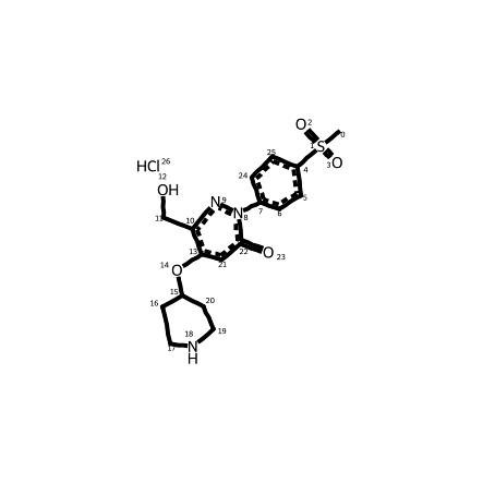 CS(=O)(=O)c1ccc(-n2nc(CO)c(OC3CCNCC3)cc2=O)cc1.Cl